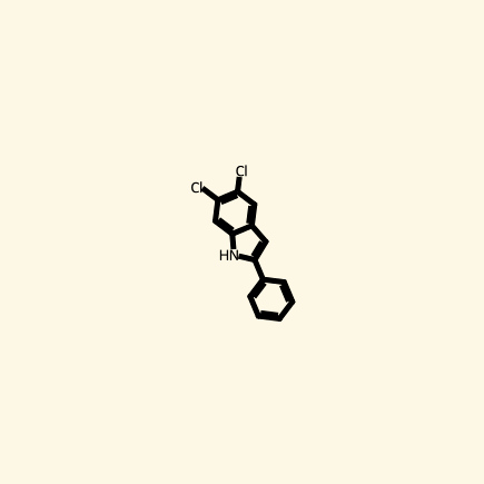 Clc1cc2cc(-c3ccccc3)[nH]c2cc1Cl